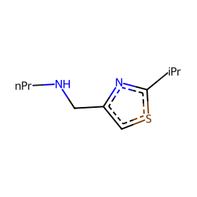 CCCNCc1csc(C(C)C)n1